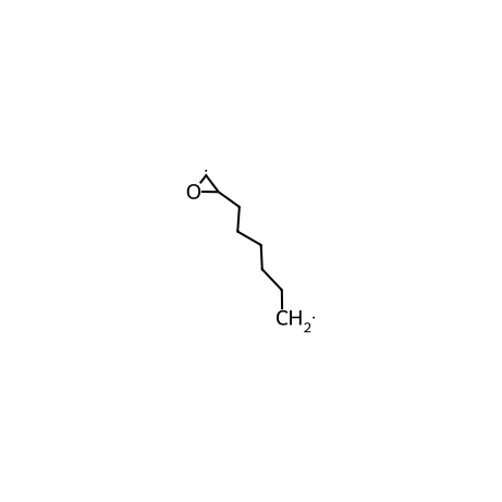 [CH2]CCCCCC1[CH]O1